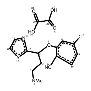 CNCCC(Oc1cc(Cl)ccc1C#N)c1nccs1.O=C(O)C(=O)O